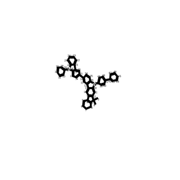 CC1(C)C2=C(C=CCC2)c2cc3c4cc(-c5ccc6c(c5)c5ccccc5n6-c5ccccc5)ccc4n(-c4ccc(-c5ccccc5)cc4)c3cc21